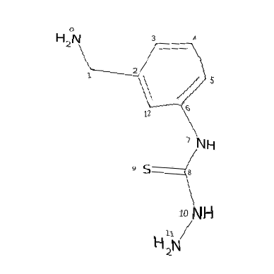 NCc1cccc(NC(=S)NN)c1